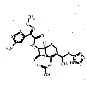 CO/N=C(/C(=O)N[C@@H]1C(=O)N2C(OC(=O)O)=C(C(C)Sc3nnn[nH]3)CS[C@@H]12)c1cc(N)sn1